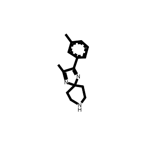 CC1=NC2(CCNCC2)N=C1c1cccc(C)c1